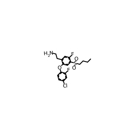 CCCCS(=O)(=O)c1cc(Oc2ccc(Cl)cc2F)c(CCN)cc1F